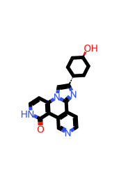 O=c1[nH]ccc2c1c1cnccc1c1nc([C@H]3CC[C@H](O)CC3)cn21